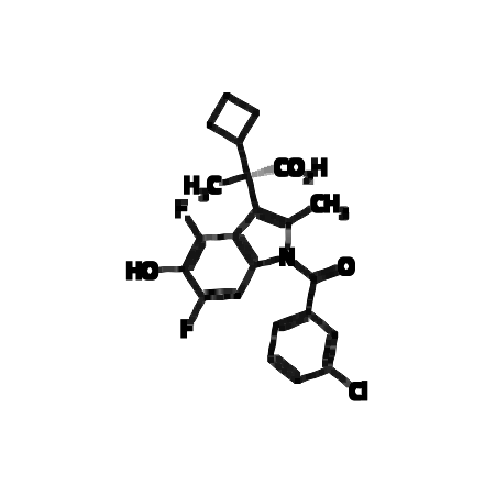 Cc1c([C@](C)(C(=O)O)C2CCC2)c2c(F)c(O)c(F)cc2n1C(=O)c1cccc(Cl)c1